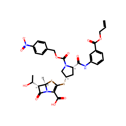 C=CCOC(=O)c1cccc(NC(=O)[C@@H]2C[C@H](SC3=C(C(=O)O)N4C(=O)[C@H](C(C)O)[C@H]4S3)CN2C(=O)OCc2ccc([N+](=O)[O-])cc2)c1